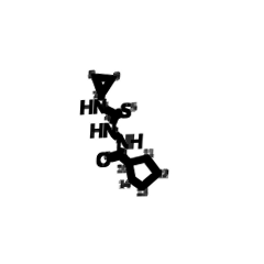 O=C(NNC(=S)NC1CC1)C1CCCC1